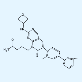 Cc1cccc(-c2ccc(-c3cc4cnc(NC5COC5)nc4n(CCCC(N)=O)c3=O)c(C)c2)n1